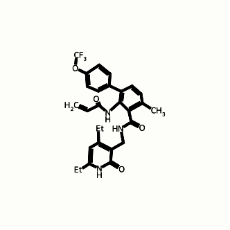 C=CC(=O)Nc1c(-c2ccc(OC(F)(F)F)cc2)ccc(C)c1C(=O)NCc1c(CC)cc(CC)[nH]c1=O